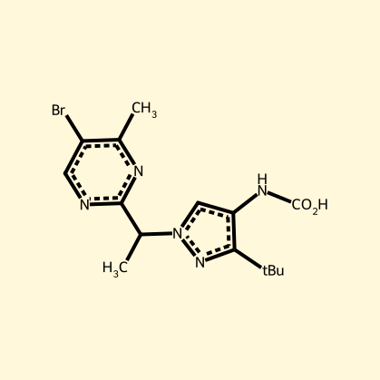 Cc1nc(C(C)n2cc(NC(=O)O)c(C(C)(C)C)n2)ncc1Br